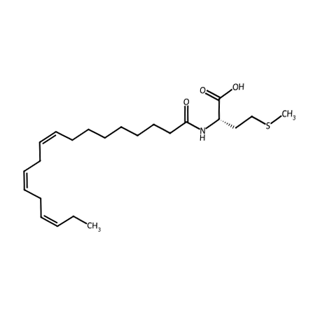 CC/C=C\C/C=C\C/C=C\CCCCCCCC(=O)N[C@@H](CCSC)C(=O)O